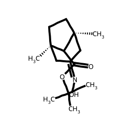 CC(C)(C)OC(=O)C1[C@@]2(C)CC[C@]1(C)C/C(=N\O)C2